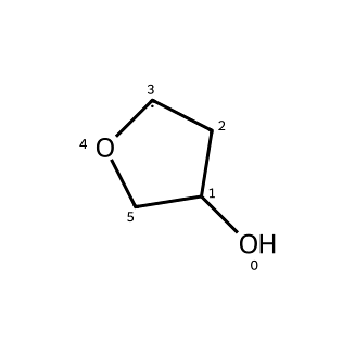 OC1C[CH]OC1